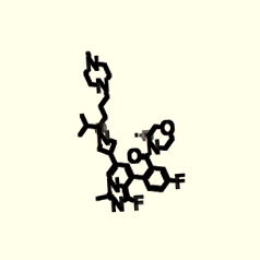 Cc1nc(F)c2c(-c3ccc(F)cc3C(=O)N3CCOC[C@H]3C)cc(C3CN([C@H](CCCN4CCN(C)CC4)C(C)C)C3)cn12